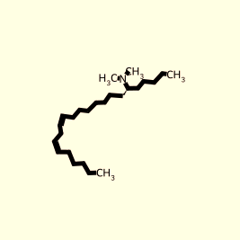 CCCCC/C=C\C/C=C\CCCCCCC[C@@H](CCCCC)N(C)C